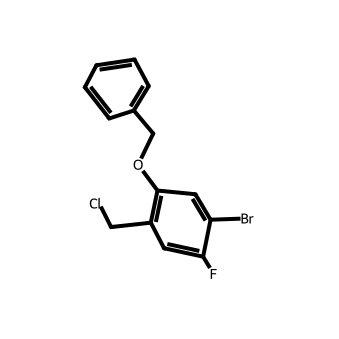 Fc1cc(CCl)c(OCc2ccccc2)cc1Br